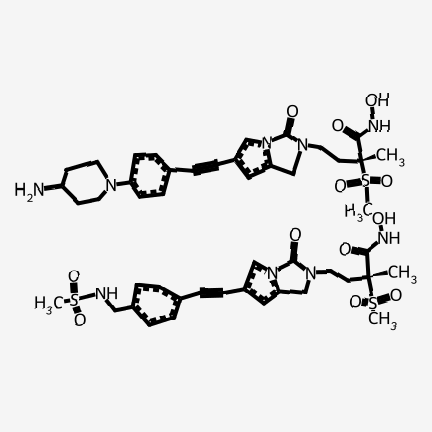 C[C@@](CCN1Cc2cc(C#Cc3ccc(CNS(C)(=O)=O)cc3)cn2C1=O)(C(=O)NO)S(C)(=O)=O.C[C@@](CCN1Cc2cc(C#Cc3ccc(N4CCC(N)CC4)cc3)cn2C1=O)(C(=O)NO)S(C)(=O)=O